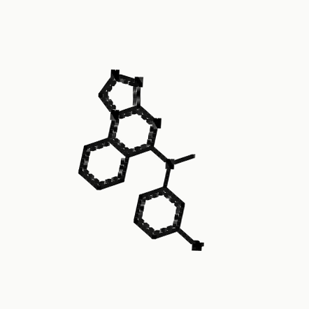 CN(c1cccc(Br)c1)c1nc2nncn2c2ccccc12